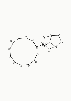 NC1C2CCC1CN(C1CCCCCCCCCCC1)C2